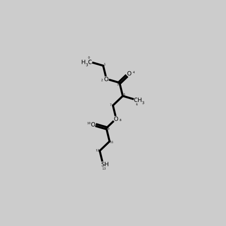 CCOC(=O)C(C)COC(=O)CCS